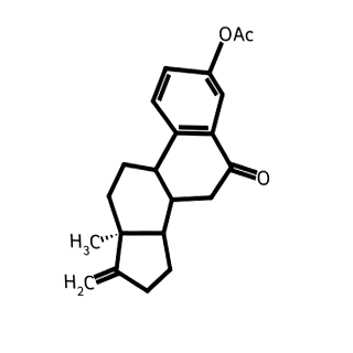 C=C1CCC2C3CC(=O)c4cc(OC(C)=O)ccc4C3CC[C@]12C